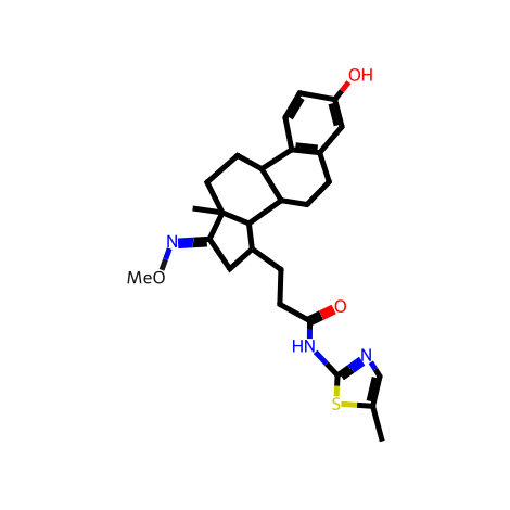 CO/N=C1\CC(CCC(=O)Nc2ncc(C)s2)C2C3CCc4cc(O)ccc4C3CCC12C